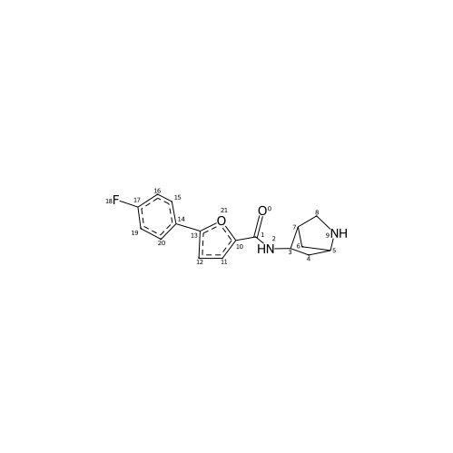 O=C(NC1CC2CC1CN2)c1ccc(-c2ccc(F)cc2)o1